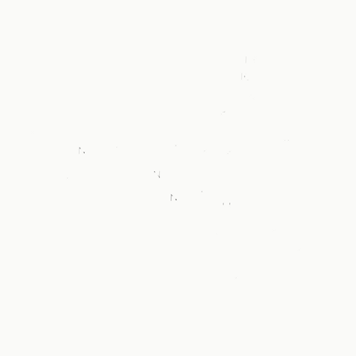 Cl.Cl.c1ccc(COc2nn(CCN3CCCC3)cc2-c2ccccc2)cc1